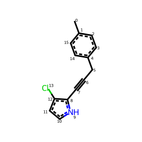 Cc1ccc(CC#Cc2[nH]ccc2Cl)cc1